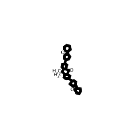 CC1(C)c2ccc(-c3ccc4c(c3)oc3ccccc34)cc2C(=O)c2cc(-c3ccc4c(c3)oc3ccccc34)ccc21